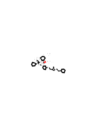 COc1cc(Nc2nc3ccccc3nc2NS(=O)(=O)c2cccc(NC(=O)C3CN(CCc4ccccc4)C3)c2)cc(OC)c1